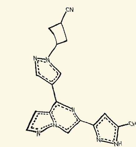 Cc1cc(-c2cn3nccc3c(-c3cnn(C4CC(C#N)C4)c3)n2)n[nH]1